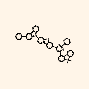 CC1(C)c2ccccc2-c2c(-c3nc(C4=CC=CCC4)nc(-c4ccc5c(c4)oc4cc(-n6c7ccccc7c7cc(-c8ccccc8)ccc76)ccc45)n3)cccc21